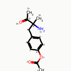 CC(=O)Oc1ccc(CC(C)(N)C(C)=O)cc1